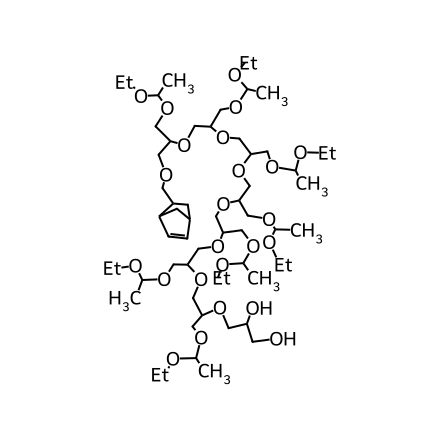 CCOC(C)OCC(COCC1CC2C=CC1C2)OCC(COC(C)OCC)OCC(COC(C)OCC)OCC(COC(C)OCC)OCC(COC(C)OCC)OCC(COC(C)OCC)OCC(COC(C)OCC)OCC(O)CO